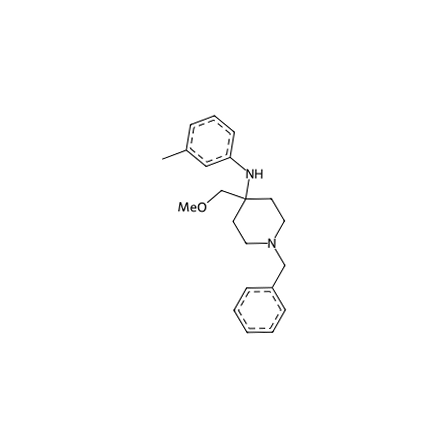 COCC1(Nc2cccc(C)c2)CCN(Cc2ccccc2)CC1